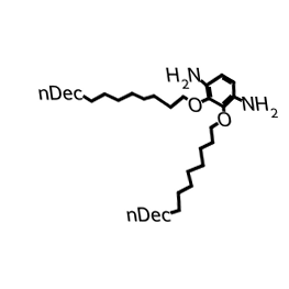 CCCCCCCCCCCCCCCCCCOc1c(N)ccc(N)c1OCCCCCCCCCCCCCCCCCC